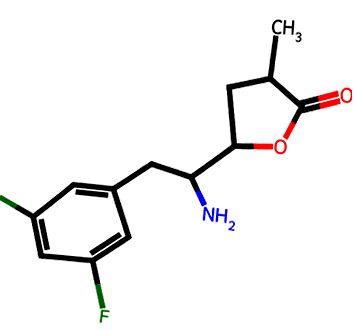 CC1CC(C(N)Cc2cc(F)cc(F)c2)OC1=O